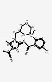 COc1ccc(Cl)cc1C(=O)N=c1sc(C(C)=O)c(C)n1CC1COCCO1